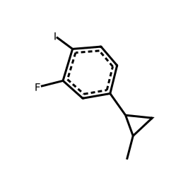 CC1CC1c1ccc(I)c(F)c1